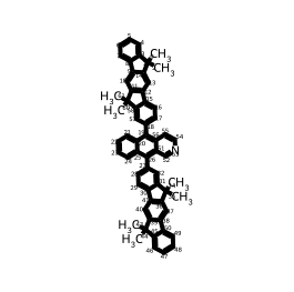 CC1(C)c2ccccc2-c2cc3c(cc21)-c1ccc(-c2c4ccccc4c(-c4ccc5c(c4)C(C)(C)c4cc6c(cc4-5)C(C)(C)c4ccccc4-6)c4cnccc24)cc1C3(C)C